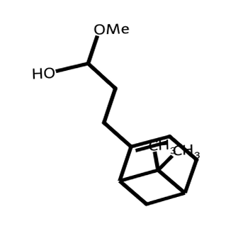 COC(O)CCC1=CCC2CC1C2(C)C